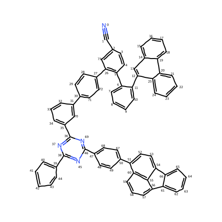 N#Cc1ccc(-c2ccccc2-c2cc3ccccc3c3ccccc23)c(-c2ccc(-c3cccc(-c4nc(-c5ccccc5)nc(-c5ccc(-c6ccc7c8c(cccc68)-c6ccccc6-7)cc5)n4)c3)cc2)c1